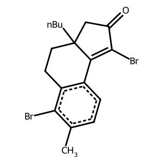 CCCCC12CCc3c(ccc(C)c3Br)C1=C(Br)C(=O)C2